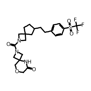 O=C1COCC2(CN(C(=O)N3CC4(CCC(CCc5ccc(S(=O)(=O)C(F)(F)F)cc5)C4)C3)C2)N1